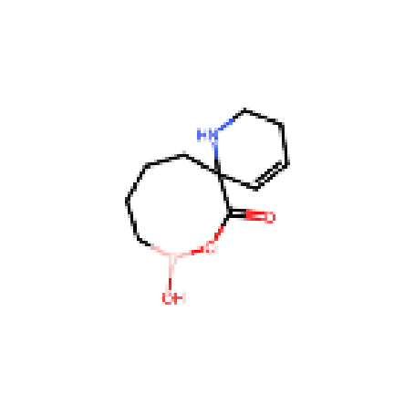 O=C1OB(O)CCCCC12C=CCCN2